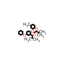 Cc1ccc(OC(C(=O)OC(c2cccc(Oc3ccccc3)c2)C(C)C)C(C)C)cc1